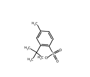 Cc1ccc(S(=O)(=O)Cl)c(C(C)(C)C)c1